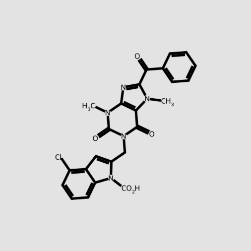 Cn1c(C(=O)c2ccccc2)nc2c1c(=O)n(Cc1cc3c(Cl)cccc3n1C(=O)O)c(=O)n2C